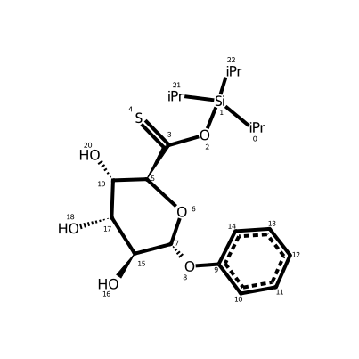 CC(C)[Si](OC(=S)[C@H]1O[C@H](Oc2ccccc2)[C@@H](O)[C@H](O)[C@@H]1O)(C(C)C)C(C)C